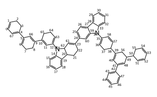 C1=CCCC(C2=CCCC(C3=CC(N4c5ccccc5C5CCC(c6ccc7c8ccccc8n(C8=CCC(C9=CC(c%10ccccc%10)=CC(C%10C=CC=CC%10)C9)C=C8)c7c6)=CC54)=CCC3)=C2)=C1